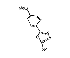 COc1ccc(-c2nnc(S)o2)cc1